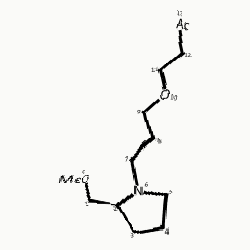 COC[C@@H]1CCCN1CCCOCCC(C)=O